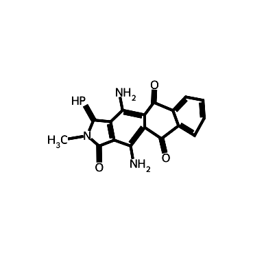 Cn1c(=O)c2c(N)c3c(=O)c4ccccc4c(=O)c3c(N)c2c1=P